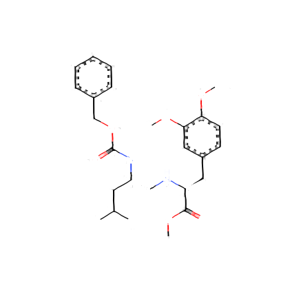 COC(=O)[C@H](Cc1ccc(OC)c(OC)c1)NC[C@H](CC(C)C)NC(=O)OCc1ccccc1